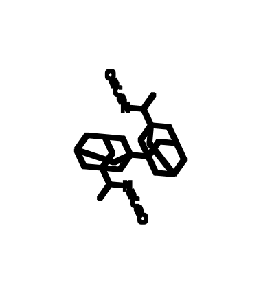 CC(N=C=O)C12CC3CC(C1)CC(C14CC5CC(CC(C(C)N=C=O)(C5)C1)C4)(C3)C2